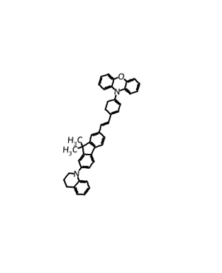 CC1(C)c2cc(/C=C/C3=CC=C(N4c5ccccc5Oc5ccccc54)CC3)ccc2-c2ccc(N3CCCc4ccccc43)cc21